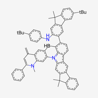 C=C1C=C(c2ccccc2)N(C)c2cc3c(cc21)Bc1c(-c2cc4c(cc2Nc2ccc(C(C)(C)C)cc2)C(C)(C)c2ccc(C(C)(C)C)cc2-4)ccc2c4cc5c(cc4n-3c12)C(C)(C)c1ccccc1-5